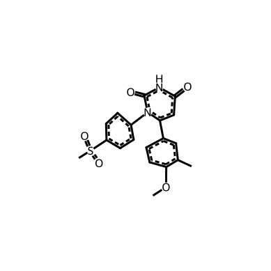 COc1ccc(-c2cc(=O)[nH]c(=O)n2-c2ccc(S(C)(=O)=O)cc2)cc1C